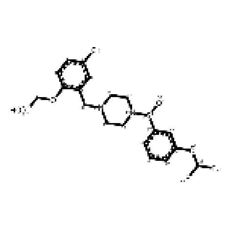 O=C(O)COc1ccc(Cl)cc1CN1CCN([S+]([O-])c2cccc(OC(F)F)c2)CC1